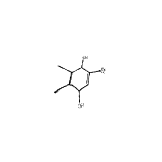 CCC1=CC(O)C(C)C(C)C1S